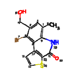 Cc1cc(CO)c(Br)c2c1[nH]c(=O)c1sccc12